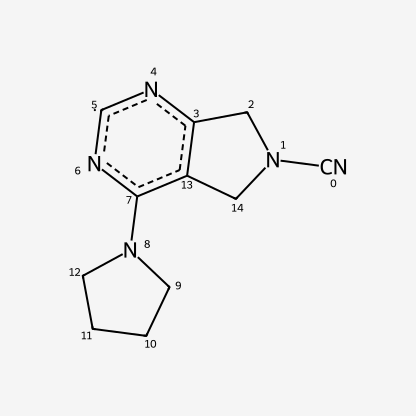 N#CN1Cc2n[c]nc(N3CCCC3)c2C1